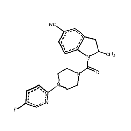 CC1Cc2cc(C#N)ccc2N1C(=O)N1CCN(c2ccc(F)cn2)CC1